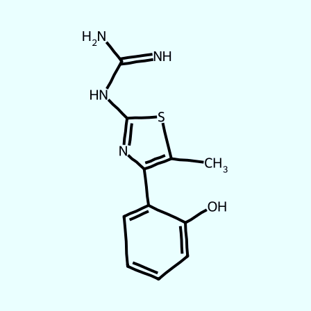 Cc1sc(NC(=N)N)nc1-c1ccccc1O